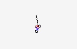 CCCCCCCCCc1ccccc1OC(C)N(CC)c1ccccc1